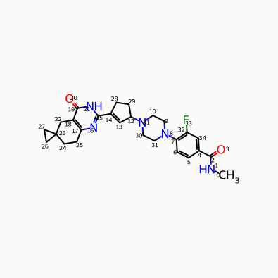 CNC(=O)c1ccc(N2CCN(C3C=C(c4nc5c(c(=O)[nH]4)CC4(CC5)CC4)CC3)CC2)c(F)c1